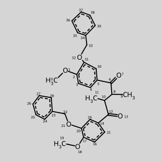 COc1ccc(C(=O)C(C)C(C)C(=O)c2ccc(OC)c(OCc3ccccc3)c2)cc1OCc1ccccc1